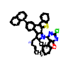 C=C/C=C\c1c(C)n(-c2nc(Cl)nc3oc4ccccc4c23)c2c3sc4ccccc4c3c3cc(-c4cccc5ccccc45)ccc3c12